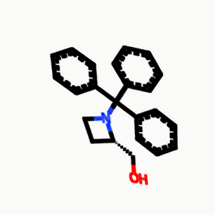 OC[C@@H]1CCN1C(c1ccccc1)(c1ccccc1)c1ccccc1